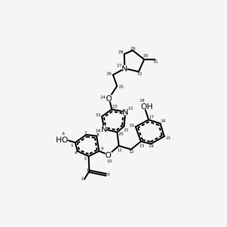 C=C(C)c1cc(O)ccc1OC(Cc1cccc(O)c1)c1cnc(OCCN2CCC(C)C2)cn1